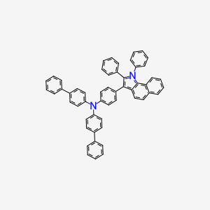 c1ccc(-c2ccc(N(c3ccc(-c4ccccc4)cc3)c3ccc(-c4c(-c5ccccc5)n(-c5ccccc5)c5c4ccc4ccccc45)cc3)cc2)cc1